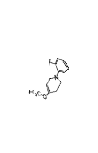 COC1=CCN(c2ccccc2F)CC1